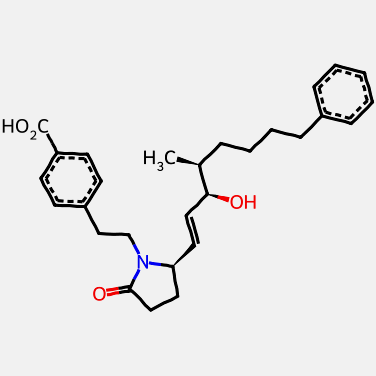 C[C@@H](CCCCc1ccccc1)[C@@H](O)C=C[C@H]1CCC(=O)N1CCc1ccc(C(=O)O)cc1